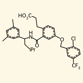 Cc1cc(C)cc(C(CC(C)C)NC(=O)c2cc(OCc3cc(C(F)(F)F)ccc3Cl)ccc2CCC(=O)O)c1